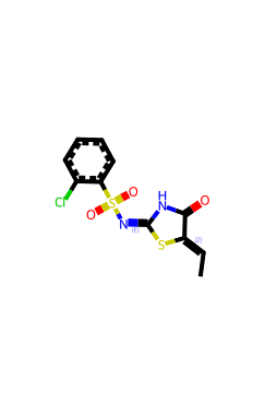 C/C=C1\S/C(=N/S(=O)(=O)c2ccccc2Cl)NC1=O